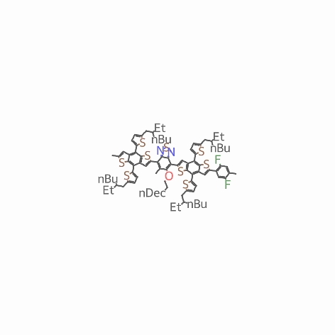 CCCCCCCCCCCCOc1c(C)c(-c2cc3c(-c4ccc(CC(CC)CCCC)s4)c4sc(C)cc4c(-c4ccc(CC(CC)CCCC)s4)c3s2)c2nsnc2c1-c1cc2c(-c3ccc(CC(CC)CCCC)s3)c3sc(-c4cc(F)c(C)cc4F)cc3c(-c3ccc(CC(CC)CCCC)s3)c2s1